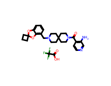 Nc1cnccc1C(=O)N1CCC2(CCN(Cc3cccc4c3OC3(CCC3)O4)CC2)CC1.O=C(O)C(F)(F)F